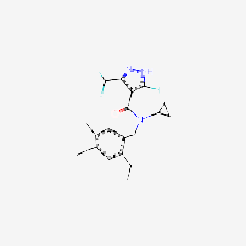 CCc1cc(C)c(C)cc1CN(C(=O)c1c(C(F)F)n[nH]c1F)C1CC1